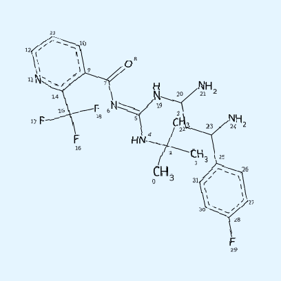 CC(C)(C)N/C(=N/C(=O)c1cccnc1C(F)(F)F)NC(N)CC(N)c1ccc(F)cc1